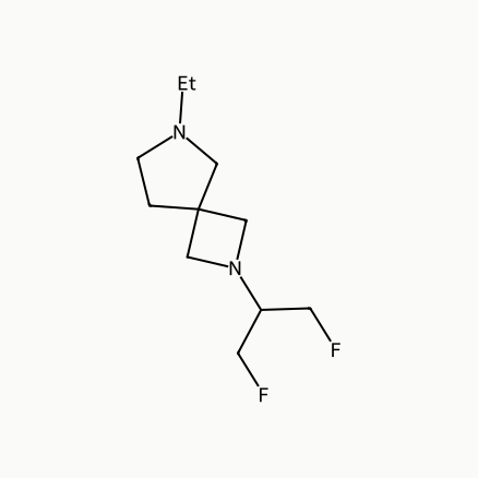 CCN1CCC2(C1)CN(C(CF)CF)C2